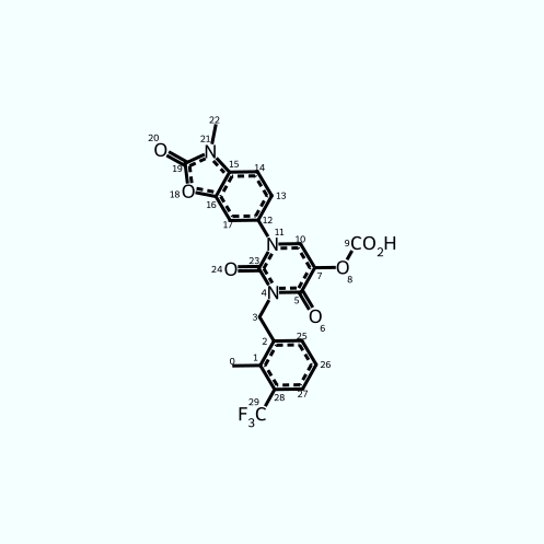 Cc1c(Cn2c(=O)c(OC(=O)O)cn(-c3ccc4c(c3)oc(=O)n4C)c2=O)cccc1C(F)(F)F